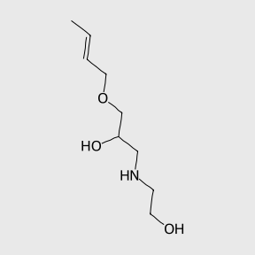 CC=CCOCC(O)CNCCO